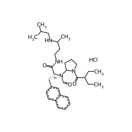 CCC(CC)C(=O)N1CCCC1N(C=O)[C@H](Cc1ccc2ccccc2c1)C(=O)NCCC(C)NCC(C)C.Cl